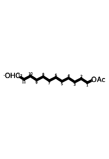 CC(=O)OCCCCCCCCCCC[C]=O